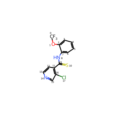 FC(F)(F)Oc1ccccc1NC(=S)c1ccncc1Cl